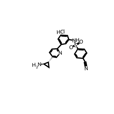 Cl.N#Cc1ccc(S(=O)(=O)Nc2cccc(-c3ccc([C@@H]4C[C@H]4N)cn3)c2)cc1